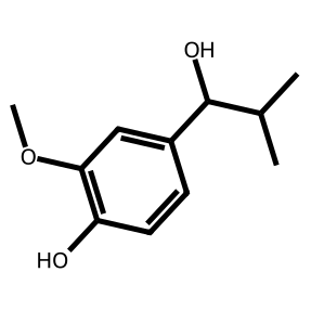 COc1cc(C(O)C(C)C)ccc1O